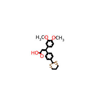 COc1ccc(C(=CC(=O)O)c2ccc(C3SCCCS3)cc2)cc1OC